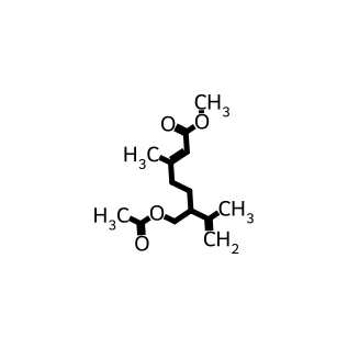 C=C(C)C(CCC(C)=CC(=O)OC)COC(C)=O